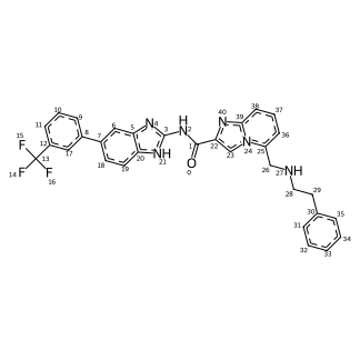 O=C(Nc1nc2cc(-c3cccc(C(F)(F)F)c3)ccc2[nH]1)c1cn2c(CNCCc3ccccc3)cccc2n1